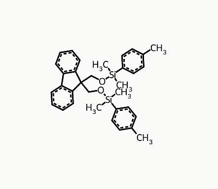 Cc1ccc([Si](C)(C)OCC2(CO[Si](C)(C)c3ccc(C)cc3)c3ccccc3-c3ccccc32)cc1